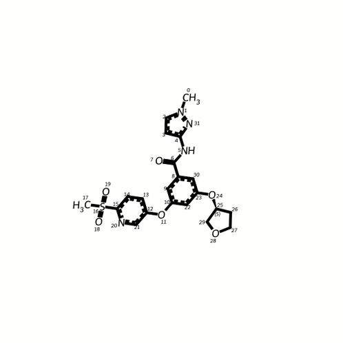 Cn1ccc(NC(=O)c2cc(Oc3ccc(S(C)(=O)=O)nc3)cc(O[C@H]3CCOC3)c2)n1